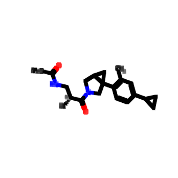 CC[C@H](CNC(=O)OC)C(=O)N1CC2CC2(c2ccc(C3CC3)cc2C)C1